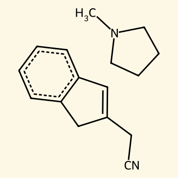 CN1CCCC1.N#CCC1=Cc2ccccc2C1